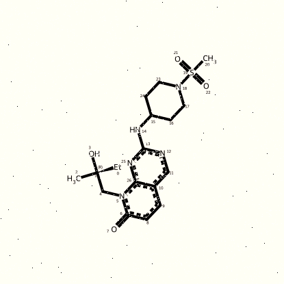 CC[C@@](C)(O)Cn1c(=O)ccc2cnc(NC3CCN(S(C)(=O)=O)CC3)nc21